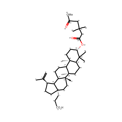 C=C(C)[C@@H]1CC[C@]2(CCC(=O)O)CC[C@]3(C)C(CCC4[C@@]5(C)CC[C@H](OC(=O)CC(C)(C)CC(=O)OC)C(C)(C)C5CC[C@]43C)C12